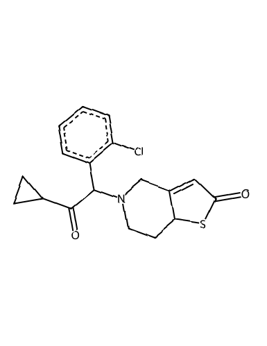 O=C1C=C2CN(C(C(=O)C3CC3)c3ccccc3Cl)CCC2S1